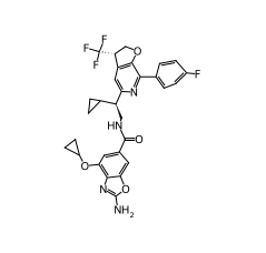 Nc1nc2c(OC3CC3)cc(C(=O)NC[C@H](c3cc4c(c(-c5ccc(F)cc5)n3)OC[C@H]4C(F)(F)F)C3CC3)cc2o1